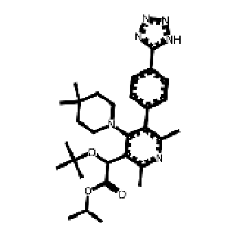 Cc1nc(C)c(C(OC(C)(C)C)C(=O)OC(C)C)c(N2CCC(C)(C)CC2)c1-c1ccc(-c2nnn[nH]2)cc1